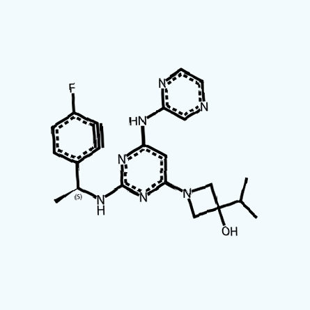 CC(C)C1(O)CN(c2cc(Nc3cnccn3)nc(N[C@@H](C)c3c#cc(F)cc3)n2)C1